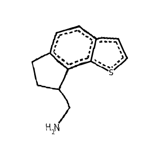 NCC1CCc2ccc3ccsc3c21